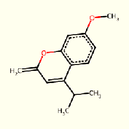 C=C1C=C(C(C)C)c2ccc(OC)cc2O1